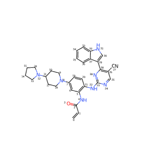 C=CC(=O)Nc1cc(N2CCC(N3CCCC3)CC2)ccc1Nc1ncc(C#N)c(-c2c[nH]c3ccccc23)n1